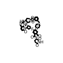 O=C1CCC(N2C(=O)c3cc(F)c(N4CCN(Cc5cccc(S(=O)(=O)N6CC[C@H](Nc7ncc8ccc(=O)n(C9CCCC9)c8n7)[C@@H](F)C6)c5)CC4)cc3C2=O)C(=O)N1